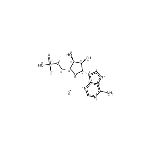 Nc1ncnc2c1ncn2[C@@H]1O[C@H](COP(=O)([O-])O)[C@@H](O)[C@H]1O.[K+]